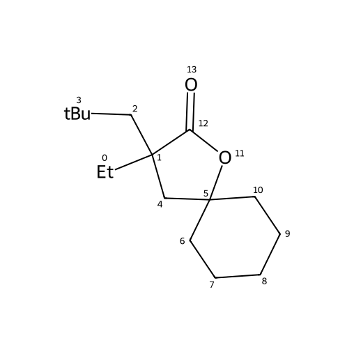 CCC1(CC(C)(C)C)CC2(CCCCC2)OC1=O